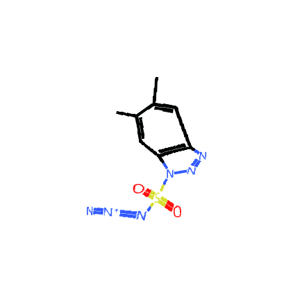 Cc1cc2nnn(S(=O)(=O)N=[N+]=[N-])c2cc1C